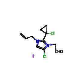 C=CCn1cc(Cl)[n+](CC=O)c1C1(Cl)CC1.[I-]